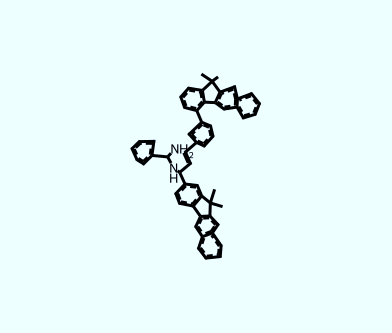 CC1(C)c2cc(C(/C=C/c3cccc(-c4cccc5c4-c4cc6ccccc6cc4C5(C)C)c3)NC(N)c3ccccc3)ccc2-c2cc3ccccc3cc21